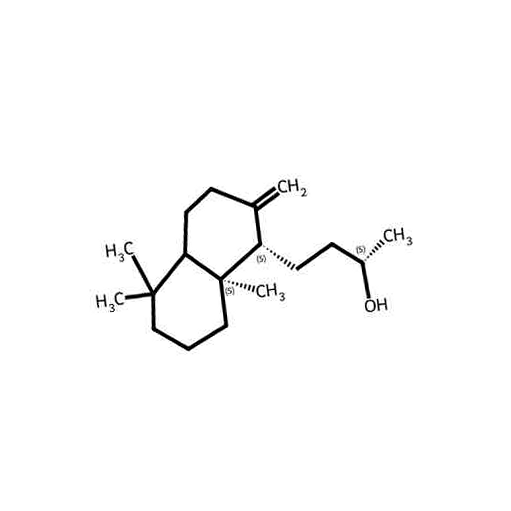 C=C1CCC2C(C)(C)CCC[C@]2(C)[C@H]1CC[C@H](C)O